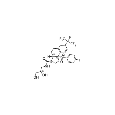 O=C(NC[C@@H](O)CO)[C@@H]1CC[C@@]2(S(=O)(=O)c3ccc(F)cc3)c3ccc(C(F)(C(F)(F)F)C(F)(F)F)cc3CC[C@@H]12